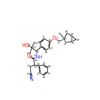 CC1(COc2ccc(C(NC(=O)C(CC#N)c3ccccc3)C(C)(C)O)cc2)CC2CC2C1